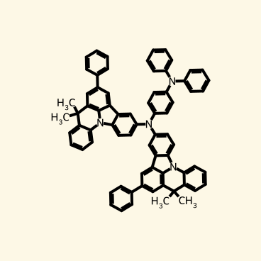 CC1(C)c2ccccc2-n2c3ccc(N(c4ccc(N(c5ccccc5)c5ccccc5)cc4)c4ccc5c(c4)c4cc(-c6ccccc6)cc6c4n5-c4ccccc4C6(C)C)cc3c3cc(-c4ccccc4)cc1c32